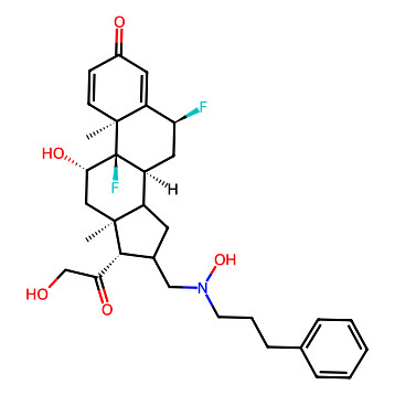 C[C@]12C[C@H](O)[C@@]3(F)[C@@H](C[C@H](F)C4=CC(=O)C=C[C@@]43C)C1CC(CN(O)CCCc1ccccc1)[C@@H]2C(=O)CO